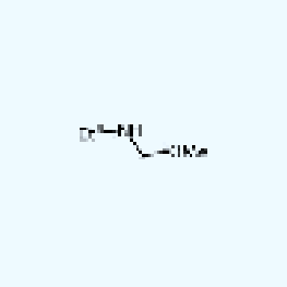 [CH2]CNCOC